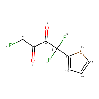 O=C(CF)C(=O)C(F)(F)c1cccs1